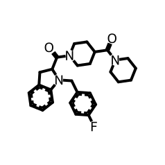 O=C(C1CCN(C(=O)C2Cc3ccccc3N2Cc2ccc(F)cc2)CC1)N1CCCCC1